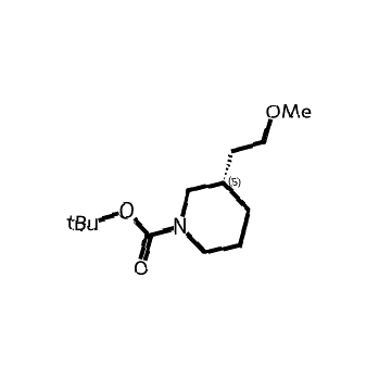 COCC[C@@H]1CCCN(C(=O)OC(C)(C)C)C1